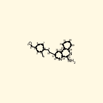 Cc1cc([C]=O)ccc1CCc1cnc2c(N)nc3ccccc3c2c1